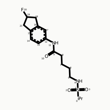 CC(C)S(=O)(=O)NCCCCC(=O)Nc1ccc2c(c1)CC(F)C2